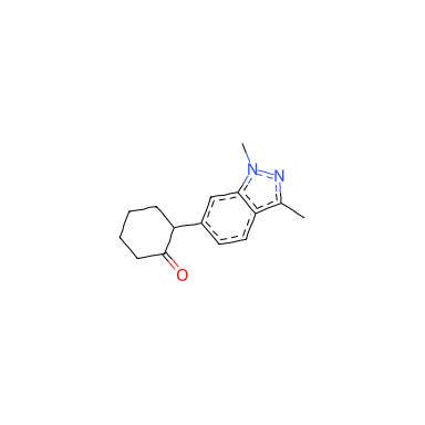 Cc1nn(C)c2cc(C3CCCCC3=O)ccc12